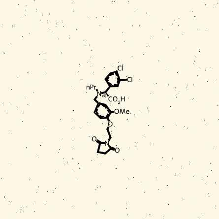 CCCN(Cc1ccc(OCCN2C(=O)CCC2=O)c(OC)c1)[C@H](C(=O)O)c1ccc(Cl)c(Cl)c1